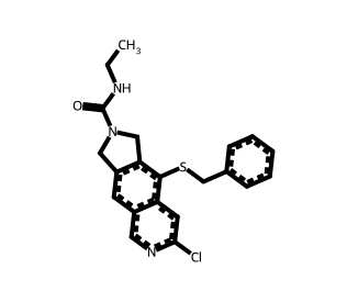 CCNC(=O)N1Cc2cc3cnc(Cl)cc3c(SCc3ccccc3)c2C1